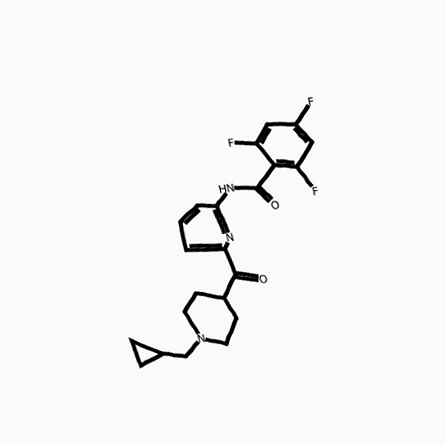 O=C(Nc1cccc(C(=O)C2CCN(CC3CC3)CC2)n1)c1c(F)cc(F)cc1F